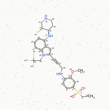 CCS(=O)(=O)c1ccc(NCC#Cc2cc3c(N[C@@H]4CCNC[C@@H]4F)cccc3n2CC(F)(F)F)c(OC)c1